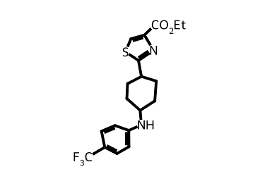 CCOC(=O)c1csc(C2CCC(Nc3ccc(C(F)(F)F)cc3)CC2)n1